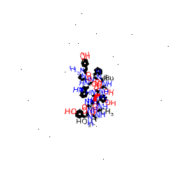 CC[C@H](C)[C@H](NC(=O)[C@H](Cc1ccccc1)NC(=O)[C@H](Cc1c[nH]c2ccccc12)NC(=O)[C@@H]1CCCN1C(=O)[C@@H](N)Cc1ccc(O)cc1)C(=O)N[C@@H](CO)C(=O)N[C@@H](Cc1ccc(O)cc1)C(=O)NCC(=O)NCC(=O)N[C@@H](C)C(=O)N[C@@H](CC(=O)O)C(=O)N[C@@H](Cc1ccc(O)cc1)C(=O)N[C@@H](CCCCN)C(N)=O